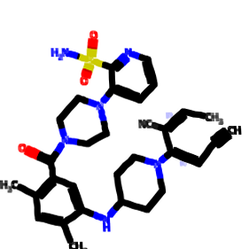 C#C/C=C(\C(C#N)=C/C)N1CCC(Nc2cc(C(=O)N3CCN(c4cccnc4S(N)(=O)=O)CC3)c(C)cc2C)CC1